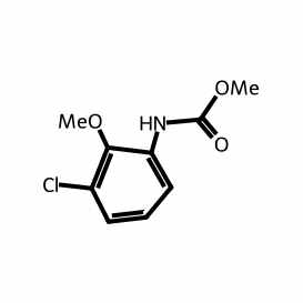 [CH2]OC(=O)Nc1cccc(Cl)c1OC